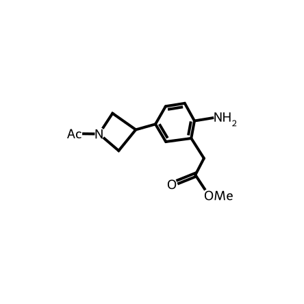 COC(=O)Cc1cc(C2CN(C(C)=O)C2)ccc1N